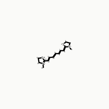 CN1CCSC1=CC=CC=CC=CC1=[N+](C)CCS1